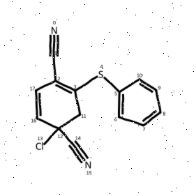 N#CC1=C(Sc2ccccc2)CC(Cl)(C#N)C=C1